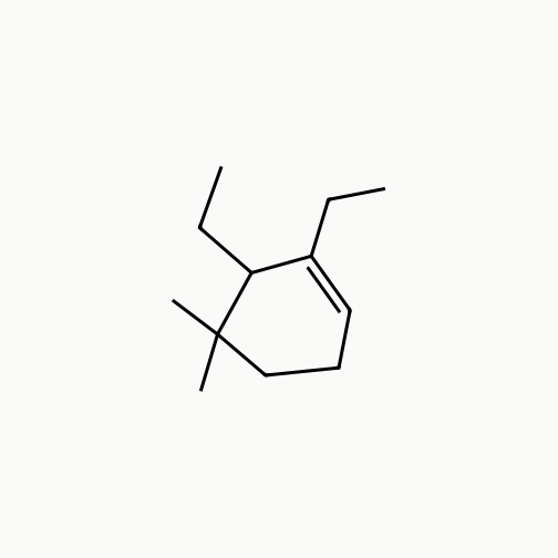 CCC1=CCCC(C)(C)C1CC